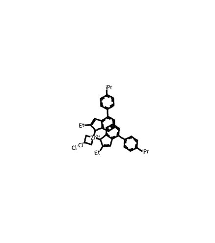 CCC1=Cc2c(-c3ccc(C(C)C)cc3)cccc2[CH]1[Zr+2]1([CH]2C(CC)=Cc3c(-c4ccc(C(C)C)cc4)cccc32)[CH2]C[CH2]1.[Cl-].[Cl-]